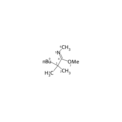 CCCCC(C)(C)/C(=N/C)OC